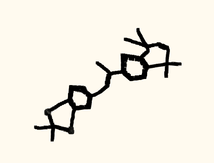 CC(=Cc1ccc2c(c1)OC(C)(C)O2)c1ccc2c(c1)C(C)(C)C=CC2(C)C